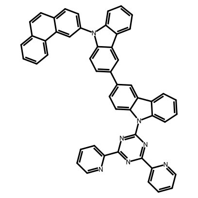 c1ccc(-c2nc(-c3ccccn3)nc(-n3c4ccccc4c4cc(-c5ccc6c(c5)c5ccccc5n6-c5ccc6ccc7ccccc7c6c5)ccc43)n2)nc1